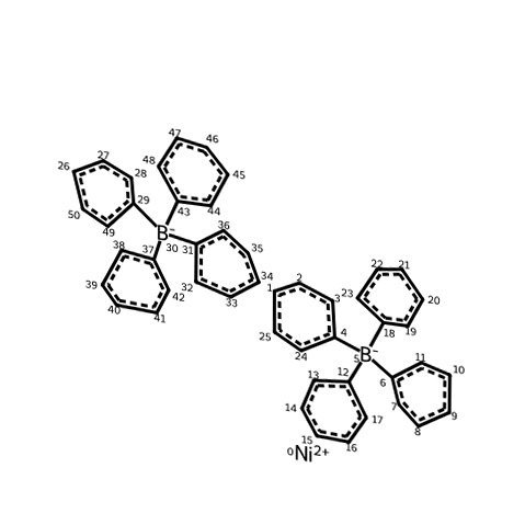 [Ni+2].c1ccc([B-](c2ccccc2)(c2ccccc2)c2ccccc2)cc1.c1ccc([B-](c2ccccc2)(c2ccccc2)c2ccccc2)cc1